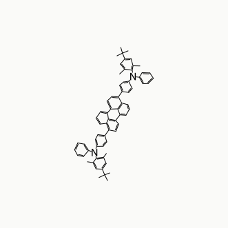 Cc1cc(C(C)(C)C)cc(C)c1N(c1ccccc1)c1ccc(-c2ccc3c4cccc5c(-c6ccc(N(c7ccccc7)c7c(C)cc(C(C)(C)C)cc7C)cc6)ccc(c6cccc2c63)c54)cc1